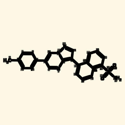 Cc1ccc(-c2cnc3c(-c4cccc5c(S(N)(=O)=O)cccc45)cnn3c2)cc1